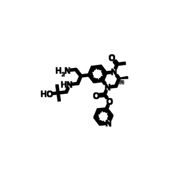 CC(=O)N1c2ccc(C(CN)CNCC(C)(C)O)cc2N(C(=O)Oc2cccnc2)C[C@@H]1C